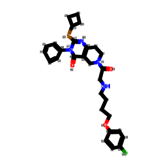 O=C(CNCCCCOc1ccc(F)cc1)N1CCc2nc(SC3CCC3)n(-c3ccccc3)c(=O)c2C1